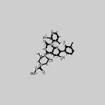 Cc1cccc(-c2nc3c(cc2C#N)c(N2[C@H](C)CN(C(=O)OC(C)(C)C)C[C@@H]2C)nc(=O)n3-c2c(C)ccnc2C(C)C)c1F